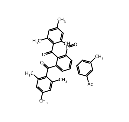 CC(=O)c1cccc(C)c1.Cc1cc(C)c(C(=O)c2cccc(P=O)c2C(=O)c2c(C)cc(C)cc2C)c(C)c1